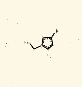 CCCCCCCn1ccc(CCC)c1.F